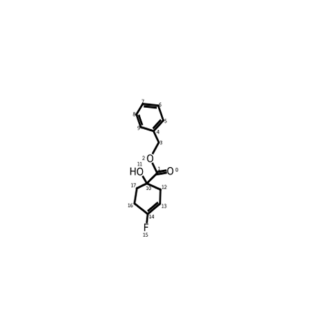 O=C(OCc1ccccc1)C1(O)CC=C(F)CC1